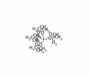 CC(C)(C)C(=O)OCCC(CCOC(=O)C(C)(C)C)(CCOC(=O)C(C)(C)C)CCOC(=O)C(C)(C)C